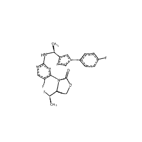 C[C@H](Nc1ncc(F)c(N2C(=O)OCC2[C@@H](C)F)n1)c1cn(-c2ccc(F)cc2)cn1